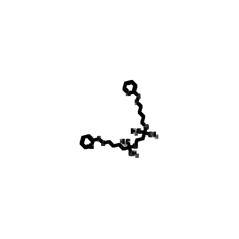 CC(C)(CCCCSSc1ccccn1)OCCC(C)(C)OCCCCSSc1ccccn1